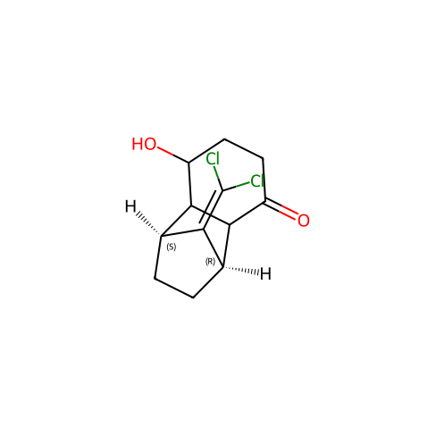 O=C1CCC(O)C2C1[C@H]1CC[C@@H]2C1=C(Cl)Cl